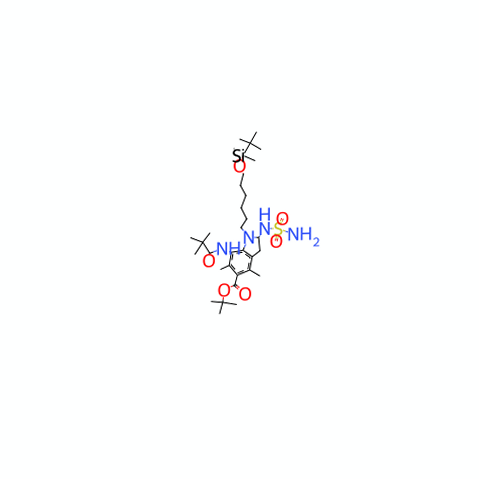 Cc1c2c(c(NC(=O)C(C)(C)C)c(C)c1C(=O)OC(C)(C)C)N(CCCCCCO[Si](C)(C)C(C)(C)C)C(NS(N)(=O)=O)C2